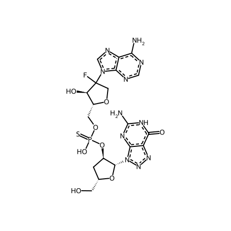 Nc1nc2c(nnn2[C@@H]2O[C@H](CO)C[C@H]2OP(O)(=S)OC[C@H]2OCC(F)(n3cnc4c(N)ncnc43)[C@@H]2O)c(=O)[nH]1